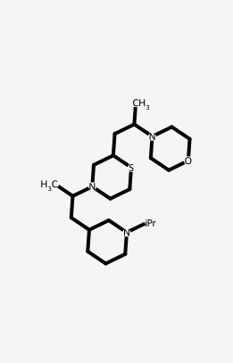 CC(C)N1CCCC(CC(C)N2CCSC(CC(C)N3CCOCC3)C2)C1